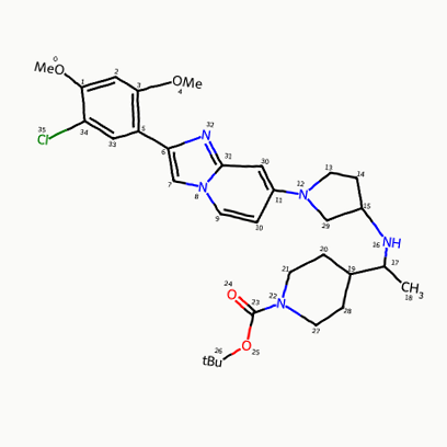 COc1cc(OC)c(-c2cn3ccc(N4CCC(NC(C)C5CCN(C(=O)OC(C)(C)C)CC5)C4)cc3n2)cc1Cl